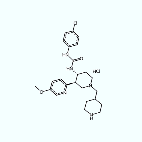 COc1ccc([C@@H]2CN(CC3CCNCC3)CC[C@H]2NC(=O)Nc2ccc(Cl)cc2)nc1.Cl